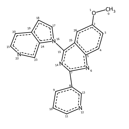 COc1ccc2nc(-c3cccnc3)nc(-n3ccc4ccncc43)c2c1